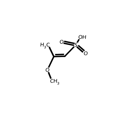 COC(C)=CS(=O)(=O)O